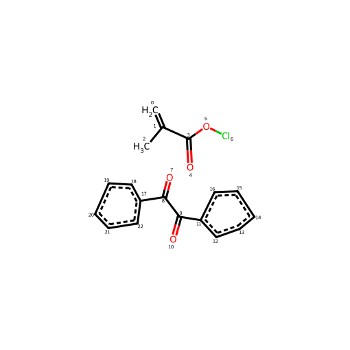 C=C(C)C(=O)OCl.O=C(C(=O)c1ccccc1)c1ccccc1